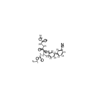 CCOC(=O)C[C@@H](Cc1ccc(-c2cccc(C#N)c2)cc1)NC(=O)CCC(=O)OC